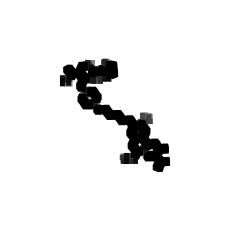 C=C(C)C1=CN2C(=CC1=C)c1cc(CC)c(CCCCCCN3CCN(CC4=C(C(=C)CC)CN=C(c5nccs5)N4)CC3)cc1CC2C(C)(C)C